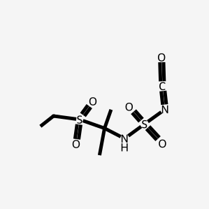 CCS(=O)(=O)C(C)(C)NS(=O)(=O)N=C=O